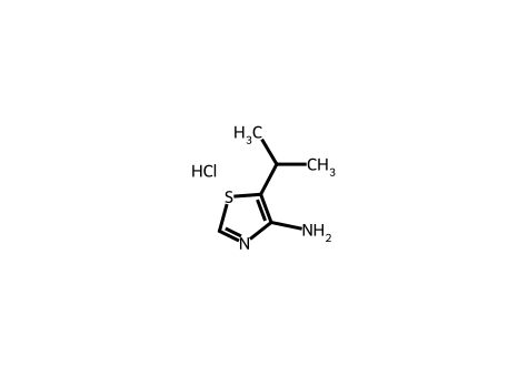 CC(C)c1scnc1N.Cl